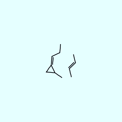 CC=CC.CCC=C1CC1C